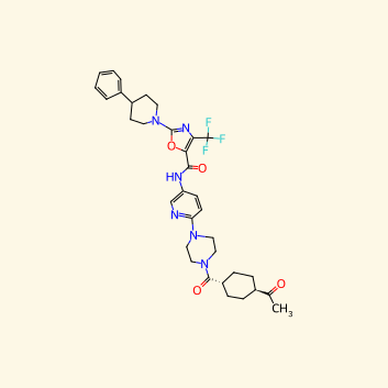 CC(=O)[C@H]1CC[C@H](C(=O)N2CCN(c3ccc(NC(=O)c4oc(N5CCC(c6ccccc6)CC5)nc4C(F)(F)F)cn3)CC2)CC1